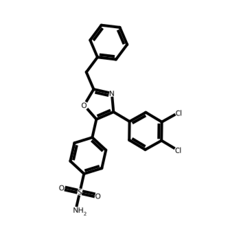 NS(=O)(=O)c1ccc(-c2oc(Cc3ccccc3)nc2-c2ccc(Cl)c(Cl)c2)cc1